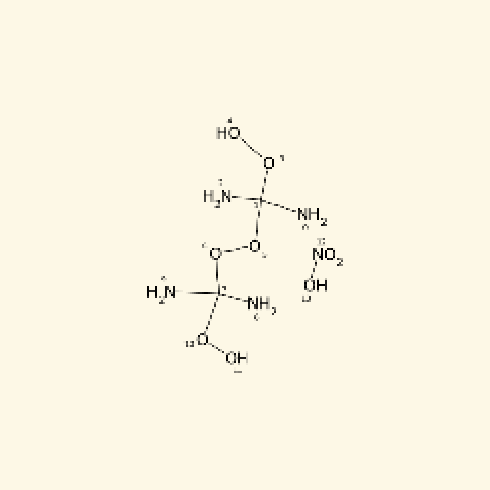 NC(N)(OO)OOC(N)(N)OO.O=[N+]([O-])O